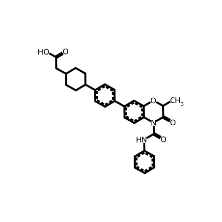 CC1Oc2cc(-c3ccc(C4CCC(CC(=O)O)CC4)cc3)ccc2N(C(=O)Nc2ccccc2)C1=O